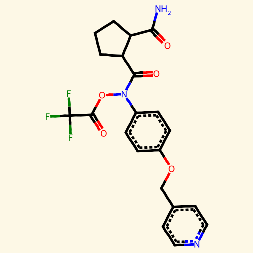 NC(=O)C1CCCC1C(=O)N(OC(=O)C(F)(F)F)c1ccc(OCc2ccncc2)cc1